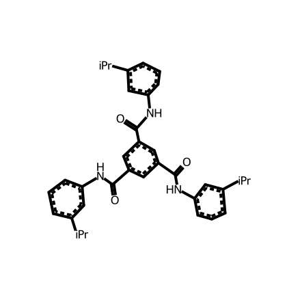 CC(C)c1cccc(NC(=O)c2cc(C(=O)Nc3cccc(C(C)C)c3)cc(C(=O)Nc3cccc(C(C)C)c3)c2)c1